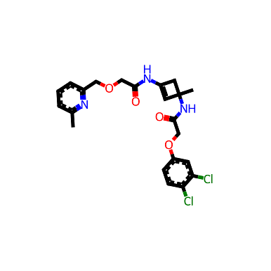 Cc1cccc(COCC(=O)NC2=CC(C)(NC(=O)COc3ccc(Cl)c(Cl)c3)C2)n1